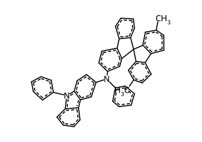 Cc1ccc2c(c1)C1(c3ccccc3-c3ccc(N(c4ccccc4)c4ccc5c(c4)c4ccccc4n5-c4ccccc4)cc31)c1cc(C)ccc1-2